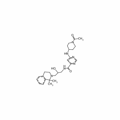 CC(=O)N1CCC(Nc2cc(C(=O)NCC(O)CN3CCc4ccccc4C3(C)C)ncn2)CC1